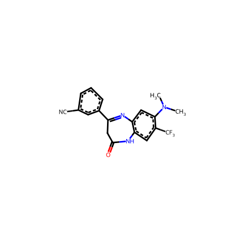 CN(C)c1cc2c(cc1C(F)(F)F)NC(=O)CC(c1cccc(C#N)c1)=N2